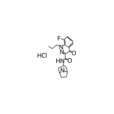 CCCn1nc(C(=O)NC2CC3CCC(C2)N3C)c(=O)c2cccc(F)c21.Cl